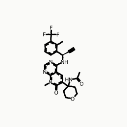 C#C[C@@H](Nc1ncnc2c1cc(C1(NC(C)=O)CCOCC1)c(=O)n2C)c1cccc(C(F)(F)F)c1C